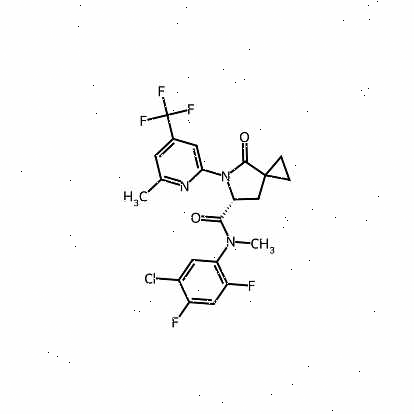 Cc1cc(C(F)(F)F)cc(N2C(=O)C3(CC3)C[C@@H]2C(=O)N(C)c2cc(Cl)c(F)cc2F)n1